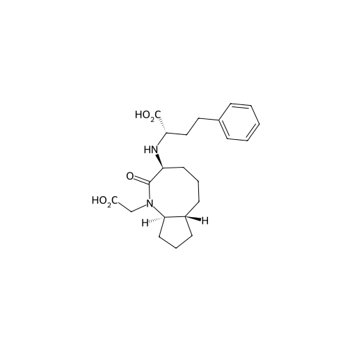 O=C(O)CN1C(=O)[C@@H](N[C@@H](CCc2ccccc2)C(=O)O)CCC[C@@H]2CCC[C@H]21